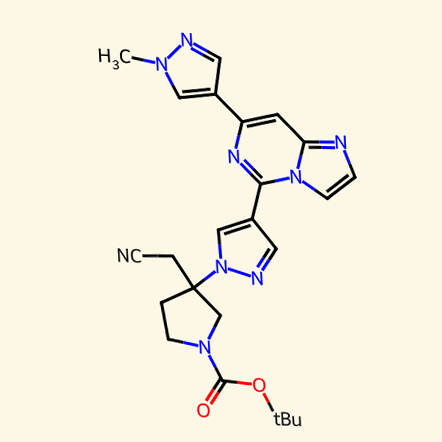 Cn1cc(-c2cc3nccn3c(-c3cnn(C4(CC#N)CCN(C(=O)OC(C)(C)C)C4)c3)n2)cn1